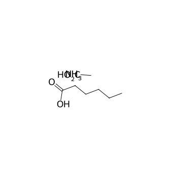 CC(=O)O.CCCCCC(=O)O.N